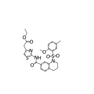 CCOC(=O)Cc1csc(NC(=O)c2ccc3c(c2)N(S(=O)(=O)c2cc(C)ccc2OC)CCC3)n1